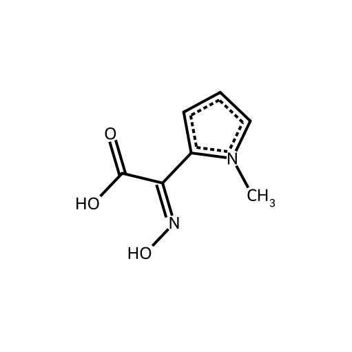 Cn1cccc1C(=NO)C(=O)O